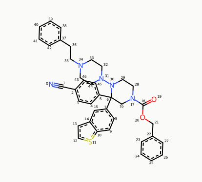 N#Cc1ccc(C2(c3ccc4sccc4c3)CN(C(=O)OCc3ccccc3)CCN2N2CCN(CCc3ccccc3)CC2)cc1